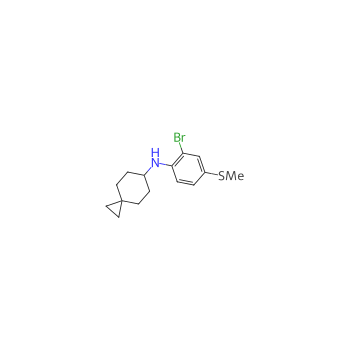 CSc1ccc(NC2CCC3(CC2)CC3)c(Br)c1